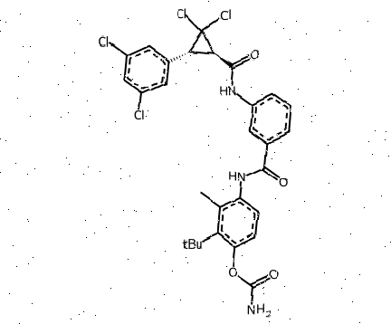 Cc1c(NC(=O)c2cccc(NC(=O)[C@H]3[C@H](c4cc(Cl)cc(Cl)c4)C3(Cl)Cl)c2)ccc(OC(N)=O)c1C(C)(C)C